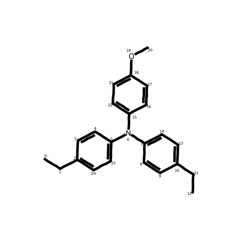 CCc1ccc(N(c2ccc(CC)cc2)c2ccc(OC)cc2)cc1